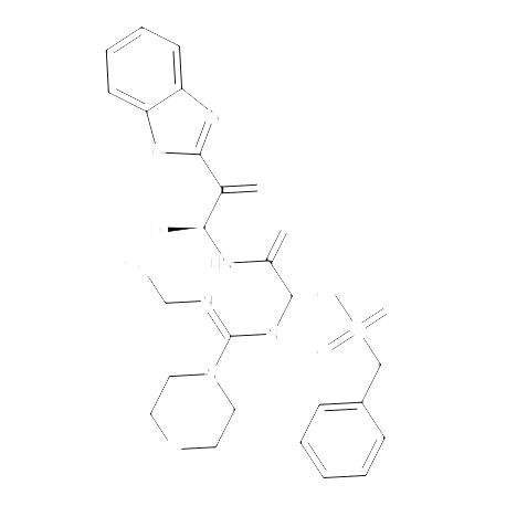 CC[C@H](NC(=O)[C@H](CS(=O)(=O)Cc1ccccc1)NC(=NCC(F)(F)F)N1CCOCC1)C(=O)c1nc2ccccc2o1